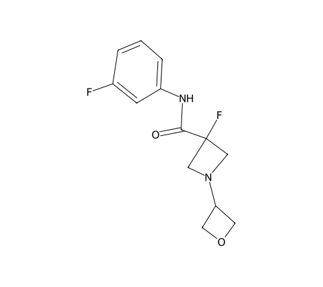 O=C(Nc1cccc(F)c1)C1(F)CN(C2COC2)C1